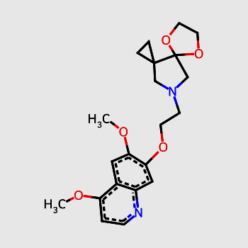 COc1cc2c(OC)ccnc2cc1OCCN1CC2(CC2)C2(C1)OCCO2